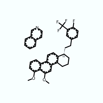 COc1cccc2c1c(OC)cc1c3c(ccc12)[C@H](CCc1ccc(F)c(C(F)(F)F)c1)CCC3.c1ccc2cnccc2c1